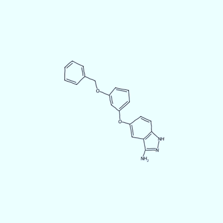 Nc1n[nH]c2ccc(Oc3cccc(OCc4ccccc4)c3)cc12